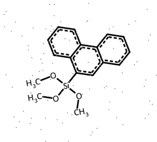 CO[Si](OC)(OC)c1cc2ccccc2c2ccccc12